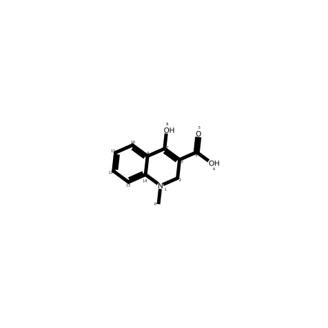 CN1CC(C(=O)O)=C(O)c2ccccc21